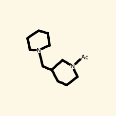 CC(=O)N1CCCC(CN2CCCCC2)C1